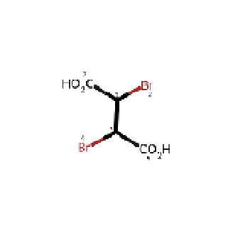 O=C(O)C(Br)C(Br)C(=O)O